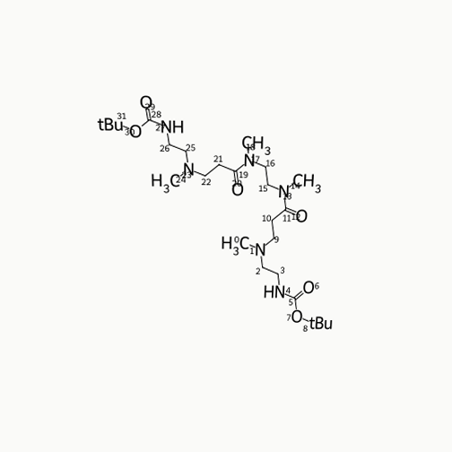 CN(CCNC(=O)OC(C)(C)C)CCC(=O)N(C)CCN(C)C(=O)CCN(C)CCNC(=O)OC(C)(C)C